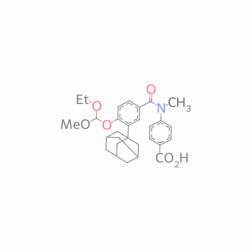 CCOC(OC)Oc1ccc(C(=O)N(C)c2ccc(C(=O)O)cc2)cc1C12CC3CC(CC(C3)C1)C2